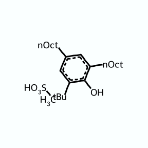 CCCCCCCCc1cc(CCCCCCCC)c(O)c(C(C)(C)C)c1.CS(=O)(=O)O